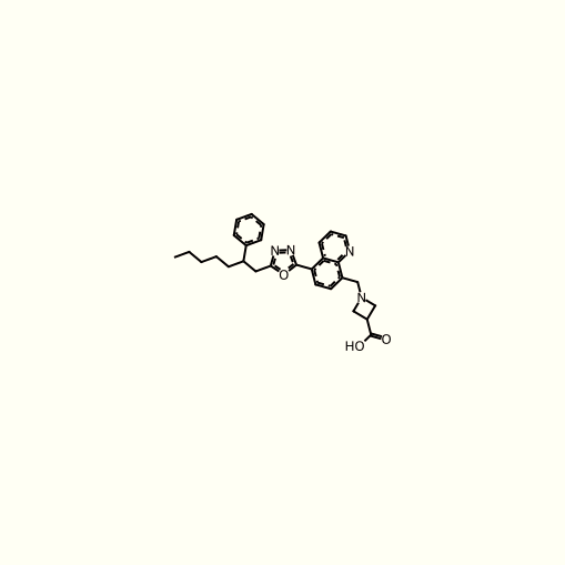 CCCCCC(Cc1nnc(-c2ccc(CN3CC(C(=O)O)C3)c3ncccc23)o1)c1ccccc1